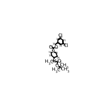 CN(C(=O)OC(C)(C)C)C1CCN(C(=O)OCc2cc(Cl)cc(Cl)c2)CC1